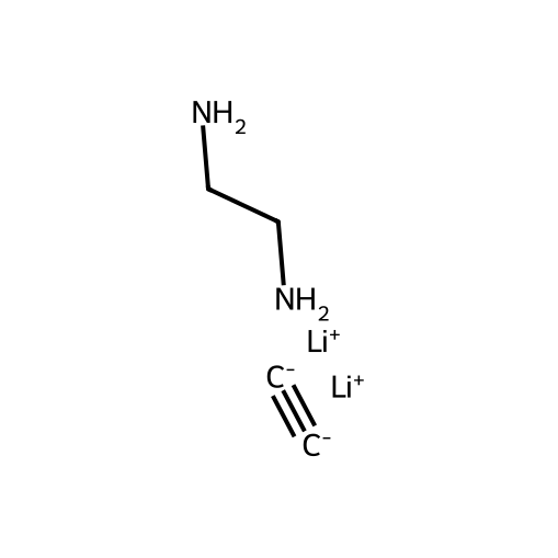 NCCN.[C-]#[C-].[Li+].[Li+]